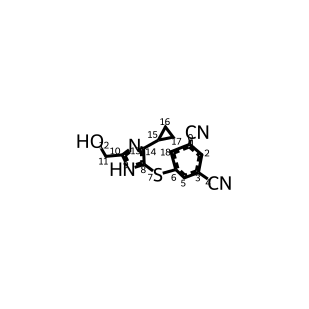 N#Cc1cc(C#N)cc(Sc2[nH]c(CO)nc2C2CC2)c1